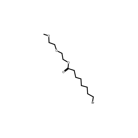 COCCOCCOC(=O)CCCCCCCBr